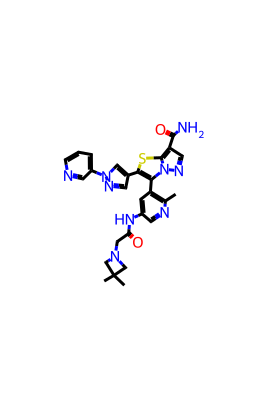 Cc1ncc(NC(=O)CN2CC(C)(C)C2)cc1-c1c(-c2cnn(-c3cccnc3)c2)sc2c(C(N)=O)cnn12